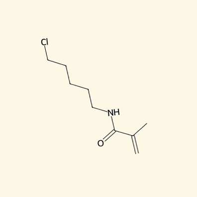 C=C(C)C(=O)NCCCCCCl